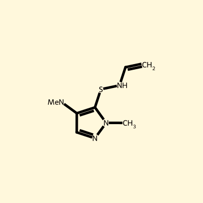 C=CNSc1c(NC)cnn1C